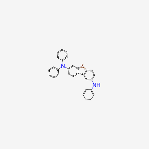 C1=CC(Nc2ccc3sc4cc(N(c5ccccc5)c5ccccc5)ccc4c3c2)=CCC1